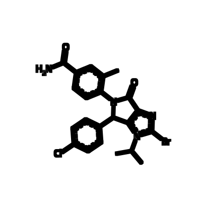 Cc1cc(C(N)=O)ccc1N1C(=O)c2nc(Br)n(C(C)C)c2C1c1ccc(Cl)cc1